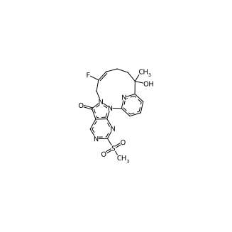 CC1(O)CCC=C(F)Cn2c(=O)c3cnc(S(C)(=O)=O)nc3n2-c2cccc1n2